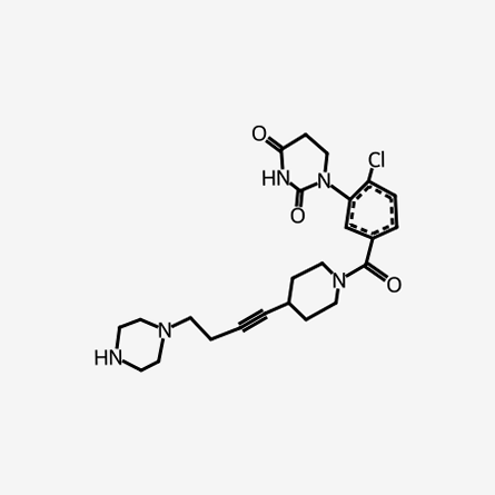 O=C1CCN(c2cc(C(=O)N3CCC(C#CCCN4CCNCC4)CC3)ccc2Cl)C(=O)N1